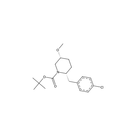 CO[C@@H]1CC[C@H](Cc2ccc(Cl)cc2)N(C(=O)OC(C)(C)C)C1